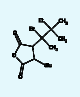 CCC(C)(C)C(C)(CC)C1C(=O)OC(=O)C1C(C)(C)C